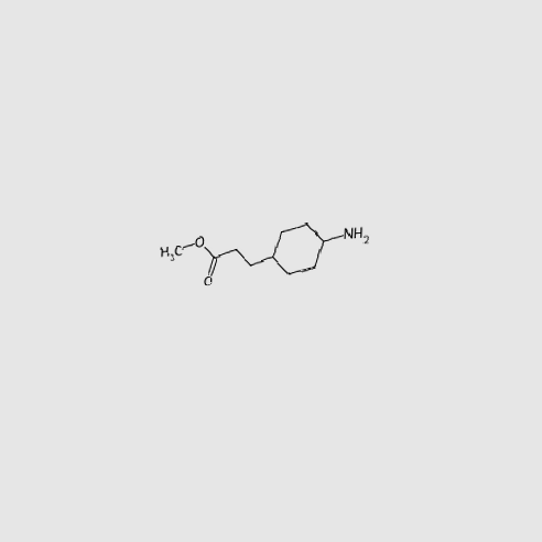 COC(=O)CCC1CCC(N)CC1